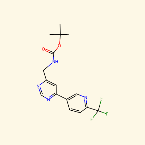 CC(C)(C)OC(=O)NCc1cc(-c2ccc(C(F)(F)F)nc2)ncn1